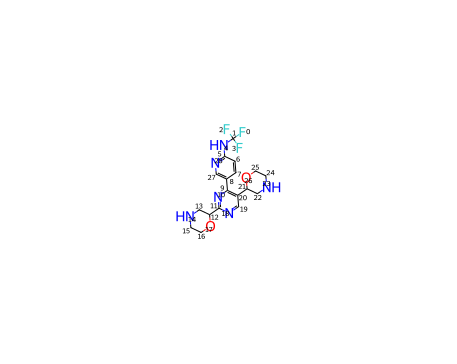 FC(F)(F)Nc1ccc(-c2nc(C3CNCCO3)ncc2C2CNCCO2)cn1